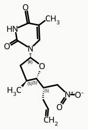 C=CC[C@@H](C[N+](=O)[O-])[C@H]1O[C@@H](n2cc(C)c(=O)[nH]c2=O)C[C@@H]1C